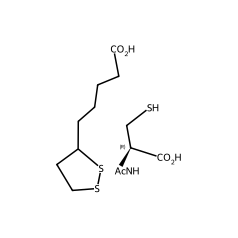 CC(=O)N[C@@H](CS)C(=O)O.O=C(O)CCCCC1CCSS1